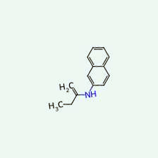 C=C(CC)Nc1ccc2ccccc2c1